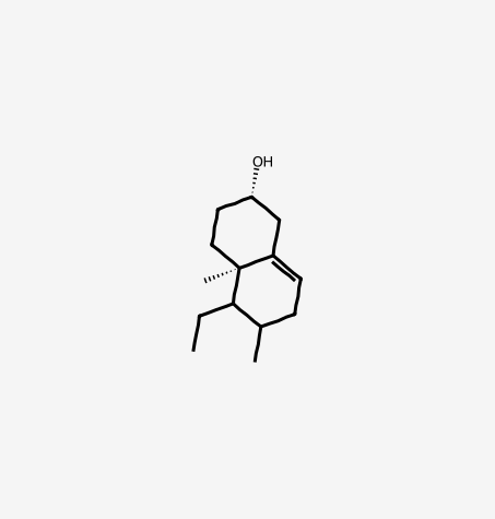 CCC1C(C)CC=C2C[C@@H](O)CC[C@@]21C